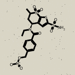 CCN(C(=O)c1ccc(CO[N+](=O)[O-])cc1)[C@H]1CC(C)S(=O)(=O)c2sc(S(N)(=O)=O)cc21